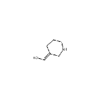 OC=C1CCCNC1